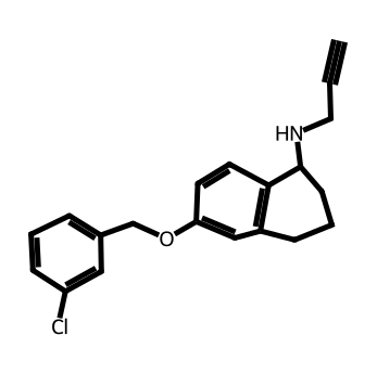 C#CCNC1CCCc2cc(OCc3cccc(Cl)c3)ccc21